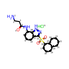 Cl.NCCC(=O)Nc1cccc2c(S(=O)(=O)c3cccc4ccccc34)n[nH]c12